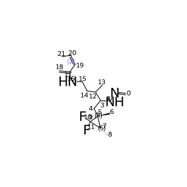 C=NNC(C[C@]1(C)[C@H](C)C1(F)F)C(C)CCNC(=C)/C=C\C